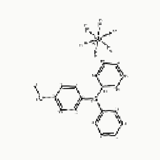 COc1ccc([S+](c2ccccc2)c2ccccc2)cc1.[F][Sb-]([F])([F])([F])([F])[F]